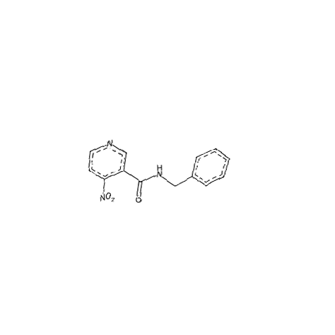 O=C(NCc1ccccc1)c1cnccc1[N+](=O)[O-]